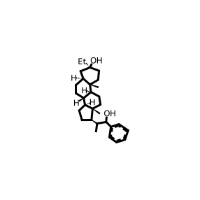 CC[C@]1(O)CC[C@@]2(C)[C@@H](CC[C@@H]3[C@@H]2CC[C@]2(C)[C@@H](C(C)C(O)c4ccccc4)CC[C@@H]32)C1